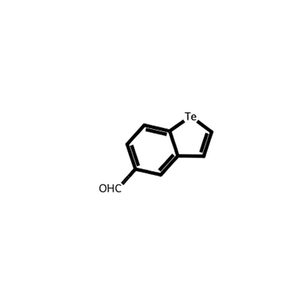 O=Cc1ccc2[te]ccc2c1